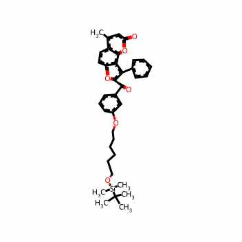 Cc1cc(=O)oc2c1ccc1oc(C(=O)c3cccc(OCCCCCCO[Si](C)(C)C(C)(C)C)c3)c(-c3ccccc3)c12